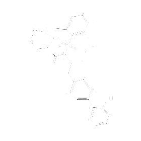 Cc1ccccc1-c1ccc(C[C@@H](C(=O)O)N(C(=O)[C@@H]2CCCNC2)S(=O)(=O)c2c(Cl)cccc2Cl)cc1